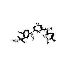 Cc1cc(Nc2cncc(Nc3ccc(C)c(C(C)(C)O)c3)n2)n[nH]1